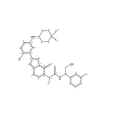 Cc1cccc(C(CO)NC(=O)C(C)n2cnn3cc(-c4nc(NC5CCC(F)(F)CC5)ncc4Cl)cc3c2=O)c1